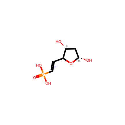 O=P(O)(O)/C=C/C1O[C@@H](O)C[C@H]1O